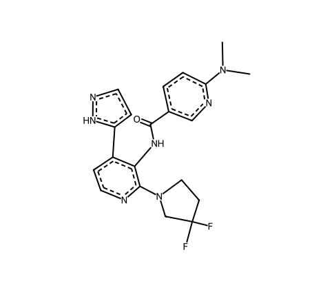 CN(C)c1ccc(C(=O)Nc2c(-c3ccn[nH]3)ccnc2N2CCC(F)(F)C2)cn1